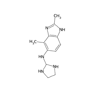 Cc1nc2c(C)c(NC3NCCN3)ccc2[nH]1